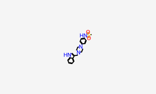 CS(=O)(=O)Nc1ccc(N2CCN(Cc3c[nH]c4ccccc34)CC2)cc1